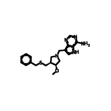 CO[C@@H]1CN(Cc2c[nH]c3c(N)ncnc23)C[C@@H]1CSCc1ccccc1